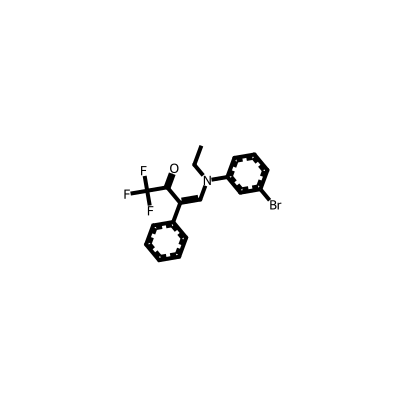 CCN(/C=C(\C(=O)C(F)(F)F)c1ccccc1)c1cccc(Br)c1